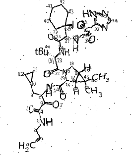 C=CCNC(=O)C(=O)C(CC1CC1)NC(=O)[C@@H]1[C@@H]2[C@H](CN1C(=O)[C@@H](NC(=O)[C@@H](NS(=O)(=O)c1ncn[nH]1)C1(I)CCCCC1)C(C)(C)C)C2(C)C